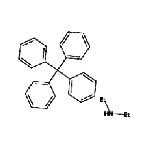 CCNCC.c1ccc(C(c2ccccc2)(c2ccccc2)c2ccccc2)cc1